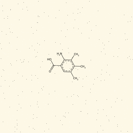 Cc1cc(C(=O)O)c(N)c(C)c1C